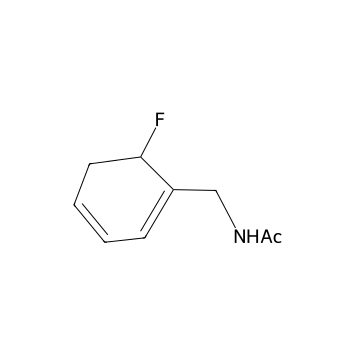 CC(=O)NCC1=CC=CCC1F